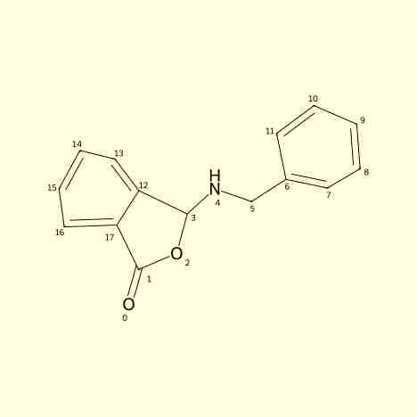 O=C1OC(NCc2ccccc2)c2ccccc21